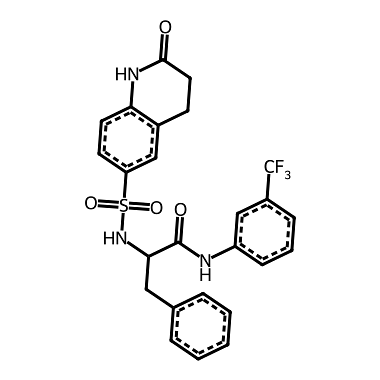 O=C1CCc2cc(S(=O)(=O)NC(Cc3ccccc3)C(=O)Nc3cccc(C(F)(F)F)c3)ccc2N1